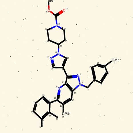 COc1ccc(Cn2nc(-c3cnn(C4CCN(C(=O)OC(C)(C)C)CC4)c3)c3nc(-c4cccc(C)c4C)c(OC)cc32)cc1